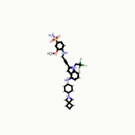 COc1cc(S(N)(=O)=O)ccc1NCC#Cc1cc2c(N[C@H]3CC[C@H](N4CC5(CCC5)C4)CC3)cccc2n1CC(F)(F)F